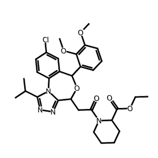 CCOC(=O)C1CCCCN1C(=O)CC1OC(c2cccc(OC)c2OC)c2cc(Cl)ccc2-n2c(C(C)C)nnc21